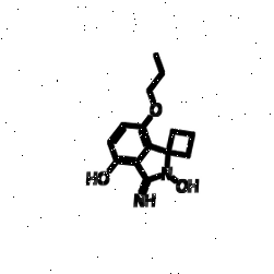 CCCOc1ccc(O)c2c1C1(CCC1)N(O)C2=N